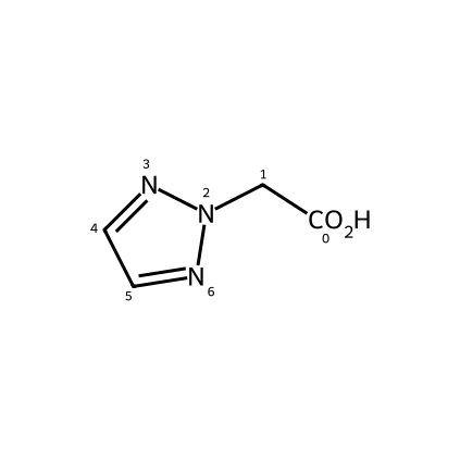 O=C(O)Cn1nccn1